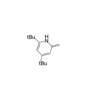 C=C1C=C(C(C)(C)C)C=C(C(C)(C)C)N1